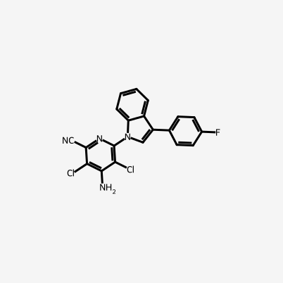 N#Cc1nc(-n2cc(-c3ccc(F)cc3)c3ccccc32)c(Cl)c(N)c1Cl